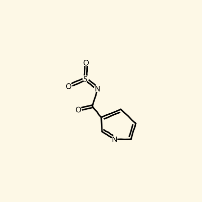 O=C(N=S(=O)=O)c1cccnc1